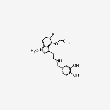 CCOC1=c2c(CCNCc3ccc(O)c(O)c3)cn(C)c2=CCC1F